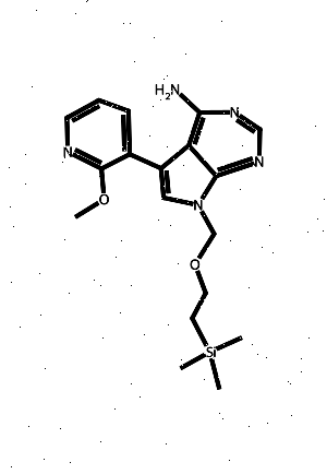 COc1ncccc1-c1cn(COCC[Si](C)(C)C)c2ncnc(N)c12